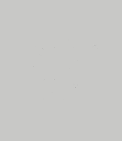 C=CC(=O)OC1C(=O)C2(CCCC2)C(=O)C1OC(OC1CCCC1)C(C)(C)C